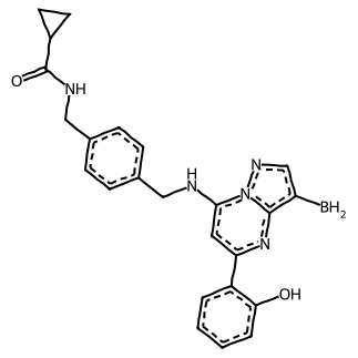 Bc1cnn2c(NCc3ccc(CNC(=O)C4CC4)cc3)cc(-c3ccccc3O)nc12